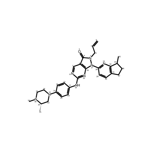 C=CCn1c(=O)c2cnc(Nc3ccc(N4CCN(C)[C@@H](C)C4)cc3)nc2n1-c1ccc2c(n1)C(C)CC2